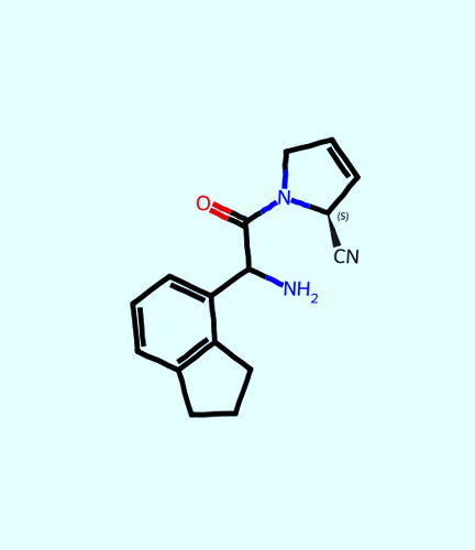 N#C[C@@H]1C=CCN1C(=O)C(N)c1cccc2c1CCC2